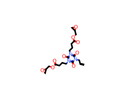 C=CCn1c(=O)n(CCCC(=O)OCC2CO2)c(=O)n(CCCC(=O)OCC2CO2)c1=O